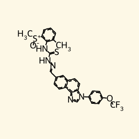 Cc1cccc([S+](C)[O-])c1NC(=S)NN=Cc1ccc2c(ccc3c2ncn3-c2ccc(OC(F)(F)F)cc2)c1